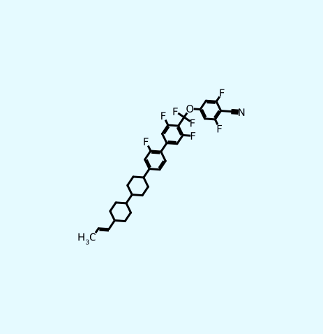 C/C=C/C1CCC(C2CCC(c3ccc(-c4cc(F)c(C(F)(F)Oc5cc(F)c(C#N)c(F)c5)c(F)c4)c(F)c3)CC2)CC1